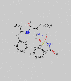 N[C@@H](CC(=O)O)C(=O)N[C@@H](Cc1ccccc1)C(=O)O.O=C1NS(=O)(=O)c2ccccc21